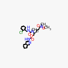 CON(C)C(=O)CCC[C@@H](COC(=O)Nc1cc2ccccc2cn1)N(C)C(=O)NCc1ccccc1Cl